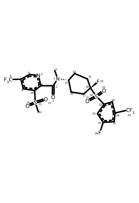 CN(C(=O)c1ncc(C(F)(F)F)cc1S(C)(=O)=O)[C@H]1CC[C@@](F)(S(=O)(=O)c2cc(F)cc(C(F)(F)F)c2)CC1